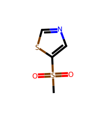 CS(=O)(=O)c1cncs1